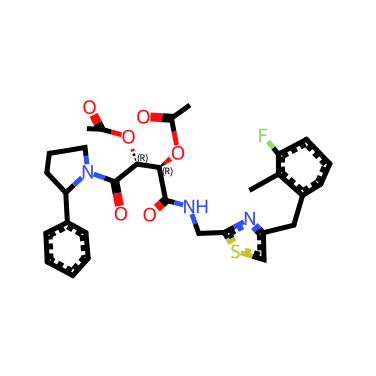 CC(=O)O[C@@H](C(=O)NCc1nc(Cc2cccc(F)c2C)cs1)[C@@H](OC(C)=O)C(=O)N1CCCC1c1ccccc1